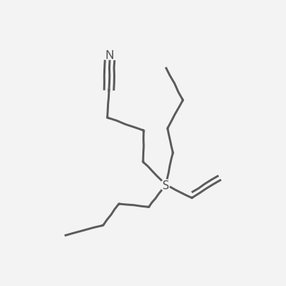 C=CS(CCCC)(CCCC)CCCC#N